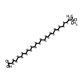 C[Si](C)(Cl)CCCCCCCCCCCCCCCCCCCCCCCCCCC(=O)O